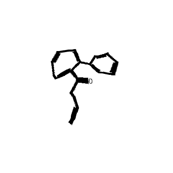 C=CCC(=O)c1ccccc1-c1ccccc1